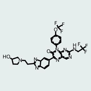 O=c1c(C2=CC3N=C(CCN4CCC(O)C4)N=C3C=C2)nc2cnc(NCC(F)(F)F)nc2n1-c1ccc(OC(F)(F)F)cc1